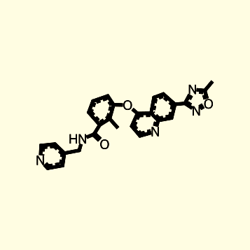 Cc1nc(-c2ccc3c(Oc4cccc(C(=O)NCc5ccncc5)c4C)ccnc3c2)no1